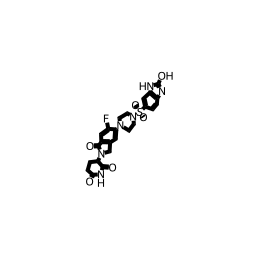 O=C1CCC(N2Cc3cc(N4CCN(S(=O)(=O)c5ccc6nc(O)[nH]c6c5)CC4)c(F)cc3C2=O)C(=O)N1